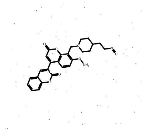 NOc1ccc2c(-c3cc4ccccc4oc3=O)cc(=O)oc2c1CN1CCC(CCN=O)CC1